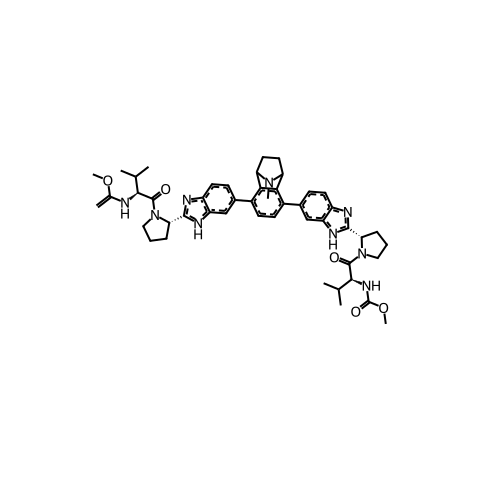 C=C(N[C@H](C(=O)N1CCC[C@H]1c1nc2ccc(-c3ccc(-c4ccc5nc([C@@H]6CCCN6C(=O)[C@@H](NC(=O)OC)C(C)C)[nH]c5c4)c4c3C3CCC4N3C)cc2[nH]1)C(C)C)OC